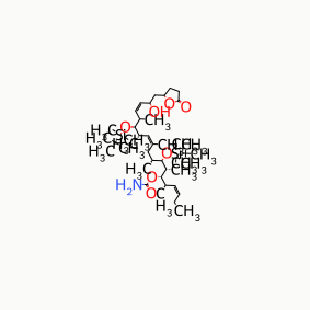 CC/C=C\C(C)[C@H](OC(N)=O)[C@@H](C)[C@H](O[Si](C)(C)C(C)(C)C)[C@@H](C)C/C(C)=C\[C@H](C)[C@@H](O[Si](C)(C)C(C)(C)C)C(C)/C=C\C(O)CC1CCC(=O)O1